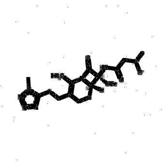 CO[C@@]1(NC(=O)C[S+](C)[O-])C(=O)N2C(C(=O)O)=C(CSc3nnnn3C)CS[C@H]21